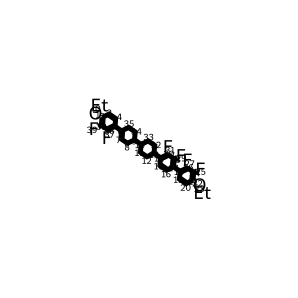 CCOc1ccc(C2=CCC(C3CCC(c4ccc(-c5ccc(OCC)c(F)c5F)c(F)c4F)CC3)CC2)c(F)c1F